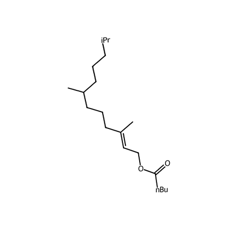 CCCCC(=O)OC/C=C(\C)CCCC(C)CCCC(C)C